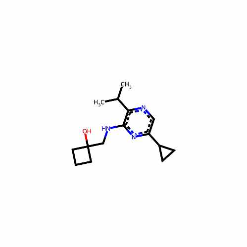 CC(C)c1ncc(C2CC2)nc1NCC1(O)CCC1